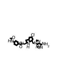 CC(=O)Nc1ccc(C(=O)NCc2cc3cc(Cl)cc(Cn4cnc5c(N)ncnc54)c3[nH]2)cc1